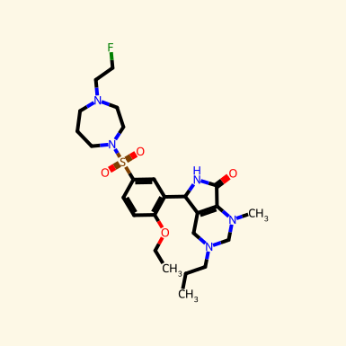 CCCN1CC2=C(C(=O)NC2c2cc(S(=O)(=O)N3CCCN(CCF)CC3)ccc2OCC)N(C)C1